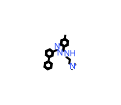 Cc1ccc2c(NCCCN(C)C)nc(-c3cccc(-c4ccccc4)c3)nc2c1